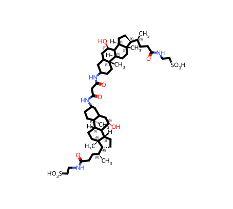 C[C@H](CCC(=O)NCCS(=O)(=O)O)[C@H]1CC[C@H]2C3[C@@H](O)CC4CC(NC(=O)CC(=O)NC5CC[C@]6(C)C(C5)C[C@@H](O)C5[C@H]7CC[C@@H]([C@@H](C)CCC(=O)NCCS(=O)(=O)O)[C@]7(C)CC[C@H]56)CC[C@]4(C)[C@H]3CC[C@]12C